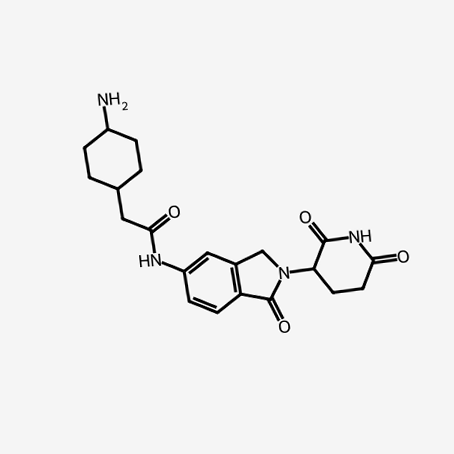 NC1CCC(CC(=O)Nc2ccc3c(c2)CN(C2CCC(=O)NC2=O)C3=O)CC1